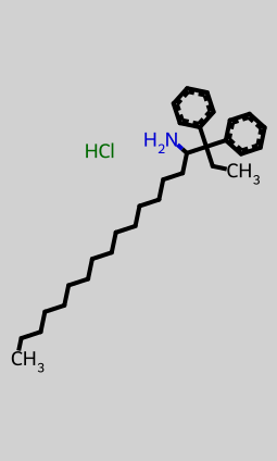 CCCCCCCCCCCCCCCC(N)C(CC)(c1ccccc1)c1ccccc1.Cl